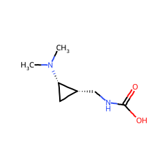 CN(C)[C@H]1C[C@H]1CNC(=O)O